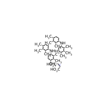 Cc1ccc(Nc2ccc(C)c(C)c2C)c(C)c1C.Cc1ccc(Nc2ccc(C)c(C)c2C)c(C)c1C.O=C(O)/C=C\C(=O)O